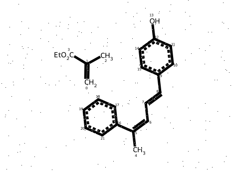 C=C(C)C(=O)OCC.CC(=CC=Cc1ccc(O)cc1)c1ccccc1